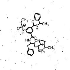 CCS(=O)(=O)Nc1cc(C(=O)NC(C)c2ccccc2)cc(C(=O)NC(Cc2ccccc2)C(O)CN(C)C2CCCN2C(C)C)c1